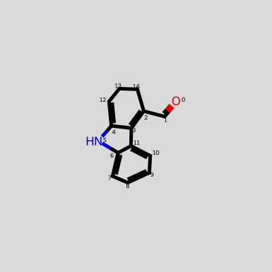 O=CC1=c2c([nH]c3ccccc23)=CCC1